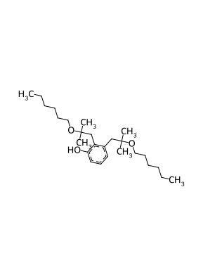 CCCCCCOC(C)(C)Cc1cccc(O)c1CC(C)(C)OCCCCCC